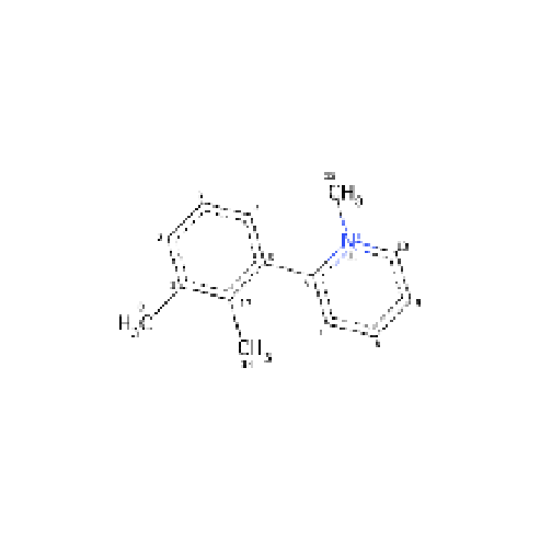 Cc1cccc(-c2cccc[n+]2C)c1C